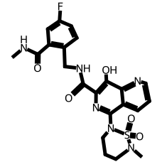 CNC(=O)c1cc(F)ccc1CNC(=O)c1nc(N2CCCN(C)S2(=O)=O)c2cccnc2c1O